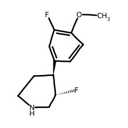 COc1ccc([C@@H]2CCNC[C@H]2F)cc1F